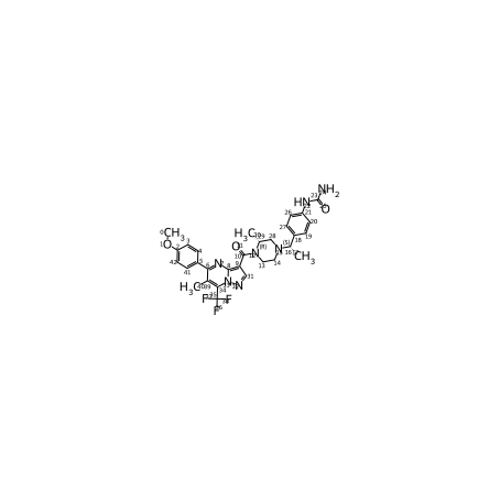 COc1ccc(-c2nc3c(C(=O)N4CCN([C@@H](C)c5ccc(NC(N)=O)cc5)C[C@H]4C)cnn3c(C(F)(F)F)c2C)cc1